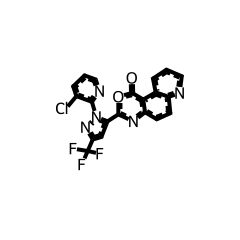 O=c1oc(-c2cc(C(F)(F)F)nn2-c2ncccc2Cl)nc2ccc3ncccc3c12